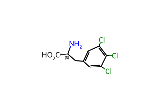 N[C@@H](Cc1cc(Cl)c(Cl)c(Cl)c1)C(=O)O